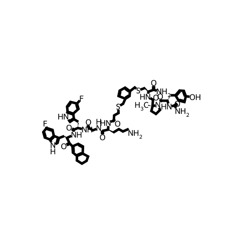 C[C@@]1(C(=O)N[C@@H](CSCc2cccc(CSCCC(=O)N[C@@H](CCCCN)C(=O)NCC(=O)N[C@@H](Cc3c[nH]c4ccc(F)cc34)C(=O)N[C@@H](Cc3c[nH]c4ccc(F)cc34)C(=O)c3ccc4c(c3)CCCC4)c2)C(N)=O)CCCN1C(=O)[C@H](Cc1ccc(O)cc1)NC(N)=O